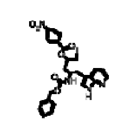 O=C(N[C@H](Cc1c[nH]c2ncccc12)CC(CI)OC(=O)c1ccc([N+](=O)[O-])cc1)OCc1ccccc1